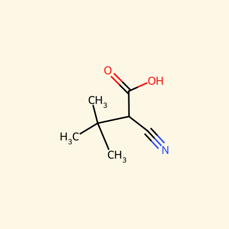 CC(C)(C)C(C#N)C(=O)O